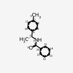 Cc1ccc([C@@H](C)NC(=O)c2ccccc2)cc1